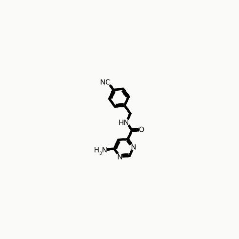 N#Cc1ccc(CNC(=O)c2cc(N)ncn2)cc1